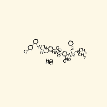 CN(C)CC[C@H](CSc1ccccc1)Nc1ccc(S(=O)(=O)NC(=O)c2ccc3c(c2)CC[C@H]2CN(Cc4ccccc4-c4ccc(Cl)cc4)CCN32)cc1[N+](=O)[O-].Cl.Cl